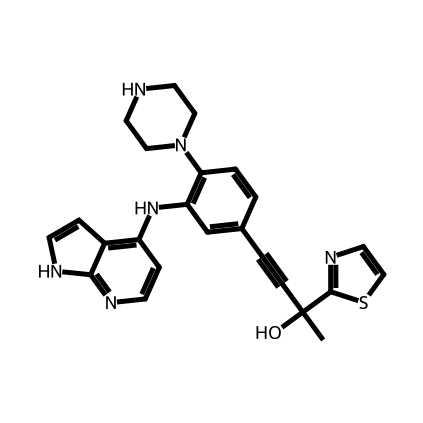 CC(O)(C#Cc1ccc(N2CCNCC2)c(Nc2ccnc3[nH]ccc23)c1)c1nccs1